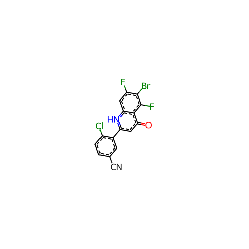 N#Cc1ccc(Cl)c(-c2cc(=O)c3c(F)c(Br)c(F)cc3[nH]2)c1